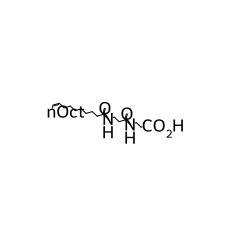 CCCCCCCC/C=C\CCCCCCCC(=O)NCCC(=O)NCCC(=O)O